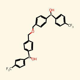 OB(c1ccc(COCc2ccc(B(O)c3ccc(C(F)(F)F)cc3)cc2)cc1)c1ccc(C(F)(F)F)cc1